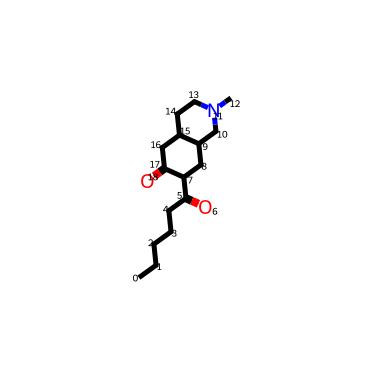 CCCCCC(=O)C1CC2CN(C)CCC2CC1=O